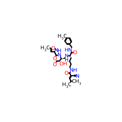 Cc1ccc(CNC(=O)[C@H](CCCCNC(=O)C(C#N)=CC(C)C)NC[C@H](NC(=O)c2cc(C)on2)[C@@H](O)C=O)cc1